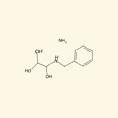 N.OC(O)C(O)NCc1ccccc1